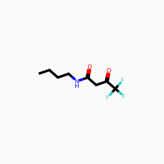 CCCCNC(=O)CC(=O)C(F)(F)F